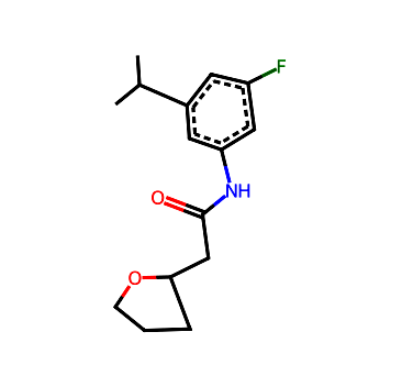 CC(C)c1cc(F)cc(NC(=O)CC2CCCO2)c1